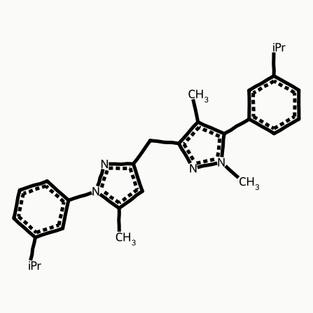 Cc1c(Cc2cc(C)n(-c3cccc(C(C)C)c3)n2)nn(C)c1-c1cccc(C(C)C)c1